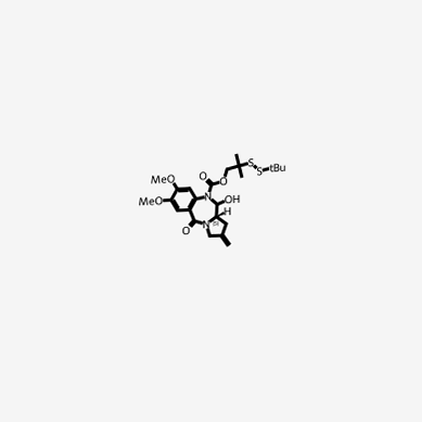 C=C1C[C@H]2C(O)N(C(=O)OCC(C)(C)SSC(C)(C)C)c3cc(OC)c(OC)cc3C(=O)N2C1